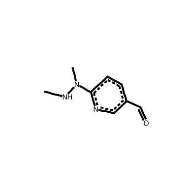 CNN(C)c1ccc(C=O)cn1